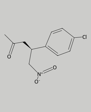 CC(=O)C[C@H](C[N+](=O)[O-])c1ccc(Cl)cc1